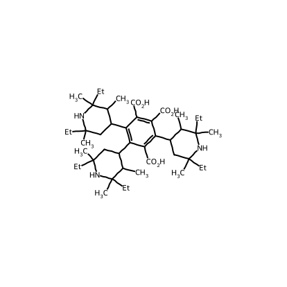 CCC1(C)CC(c2c(C(=O)O)c(C(=O)O)c(C3CC(C)(CC)NC(C)(CC)C3C)c(C3CC(C)(CC)NC(C)(CC)C3C)c2C(=O)O)C(C)C(C)(CC)N1